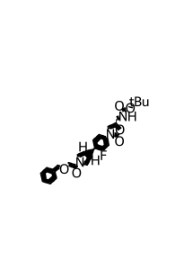 CC(C)(C)OC(=O)NC[C@H]1CN(c2ccc([C@H]3[C@@H]4CN(C(=O)COCc5ccccc5)C[C@@H]43)c(F)c2)C(=O)O1